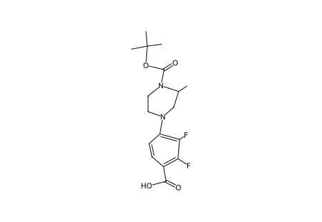 CC1CN(c2ccc(C(=O)O)c(F)c2F)CCN1C(=O)OC(C)(C)C